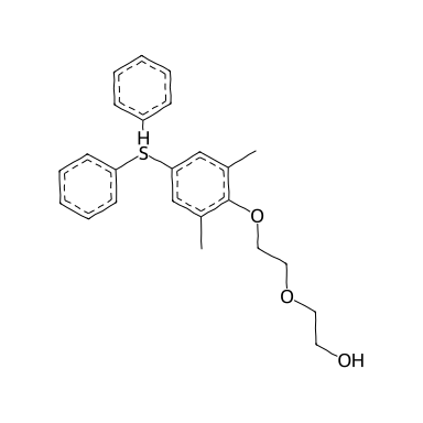 Cc1cc([SH](c2ccccc2)c2ccccc2)cc(C)c1OCCOCCO